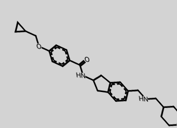 O=C(NC1Cc2ccc(CNCC3CCOCC3)cc2C1)c1ccc(OCC2CC2)cc1